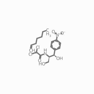 C=CCCCCC.O=C(N[C@H](CO)[C@H](O)c1ccc([N+](=O)[O-])cc1)C(Cl)Cl